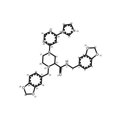 O=C(NCc1ccc2c(c1)OCO2)C1CN(c2cc(-n3ccnc3)ncn2)CCN1Cc1ccc2c(c1)OCO2